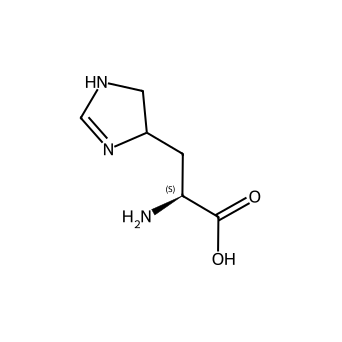 N[C@@H](CC1CNC=N1)C(=O)O